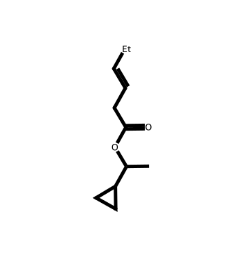 CC/C=C/CC(=O)OC(C)C1CC1